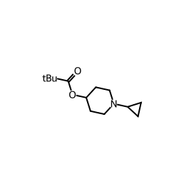 CC(C)(C)C(=O)OC1CCN(C2CC2)CC1